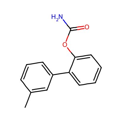 Cc1cccc(-c2ccccc2OC(N)=O)c1